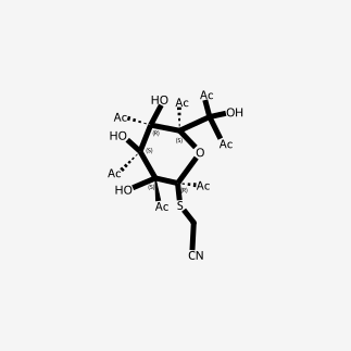 CC(=O)C(O)(C(C)=O)[C@@]1(C(C)=O)O[C@](SCC#N)(C(C)=O)[C@@](O)(C(C)=O)[C@](O)(C(C)=O)[C@]1(O)C(C)=O